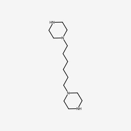 C(CCCN1CCNCC1)CCN1CCNCC1